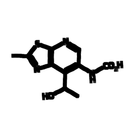 Cc1nc2c(C(C)O)c(NC(=O)O)cnc2s1